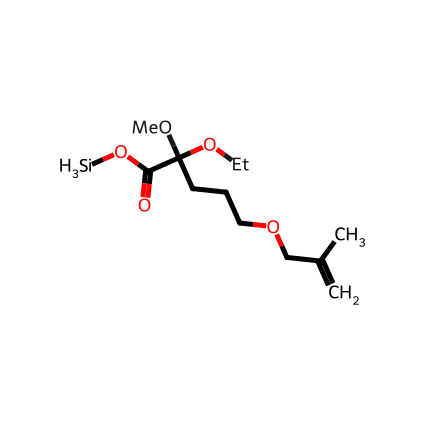 C=C(C)COCCCC(OC)(OCC)C(=O)O[SiH3]